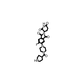 O=C1CCC(N2C(=O)c3cc(F)c(N4CCN(C(=O)C5CCNCC5)CC4)cc3C2=O)C(=O)N1